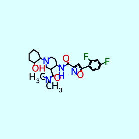 CN(C)C(=O)C1CN(C2CCCCC2O)CCC1NC(=O)c1cc(-c2ccc(F)cc2F)on1